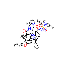 COc1ccc2c(c1)C1CC1(C(=O)N1C[C@@H]3CCCN3C[C@@H]1CC(C)C)Cn1c-2c(C2CCCCC2)c2ccc(C(=O)NS(=O)(=O)N(C)C)cc21